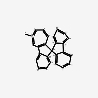 CP1=CC=CC2=C(C=1)c1ccccc1C21c2ccccc2-c2ccccc21